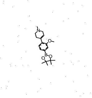 COc1cc(B2OC(C)(C)C(C)(C)O2)ccc1C1=CCN(C)CC1